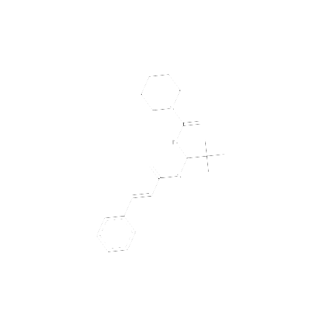 O=C(C=Cc1ccccc1)NC(NC(=[Se])N1CCCCC1)C(Cl)(Cl)Cl